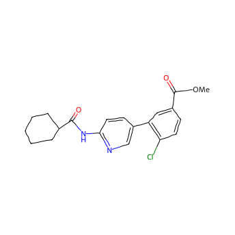 COC(=O)c1ccc(Cl)c(-c2ccc(NC(=O)C3CCCCC3)nc2)c1